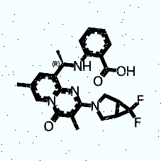 Cc1cc([C@@H](C)Nc2ccccc2C(=O)O)c2nc(N3CC4C(C3)C4(F)F)c(C)c(=O)n2c1